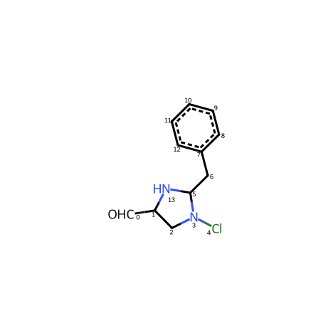 O=CC1CN(Cl)C(Cc2ccccc2)N1